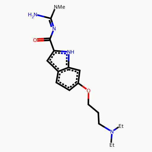 CCN(CC)CCCOc1ccc2cc(C(=O)N=C(N)NC)[nH]c2c1